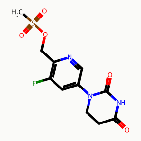 CS(=O)(=O)OCc1ncc(N2CCC(=O)NC2=O)cc1F